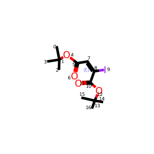 CC(C)(C)OC(=O)/C=C(/I)C(=O)OC(C)(C)C